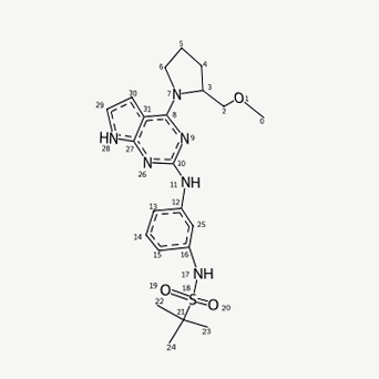 COCC1CCCN1c1nc(Nc2cccc(NS(=O)(=O)C(C)(C)C)c2)nc2[nH]ccc12